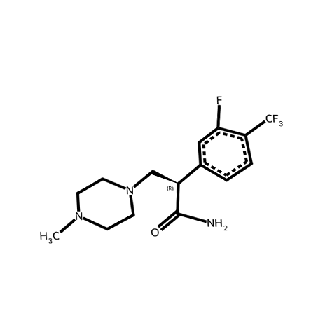 CN1CCN(C[C@H](C(N)=O)c2ccc(C(F)(F)F)c(F)c2)CC1